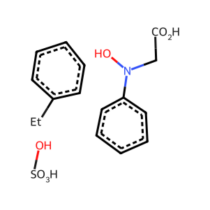 CCc1ccccc1.O=C(O)CN(O)c1ccccc1.O=S(=O)(O)O